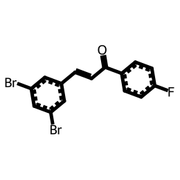 O=C(/C=C/c1cc(Br)cc(Br)c1)c1ccc(F)cc1